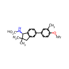 CCCOc1ccc(-c2ccc3c(c2)CC(C)(C)[C@H]3NC(=O)O)cc1C